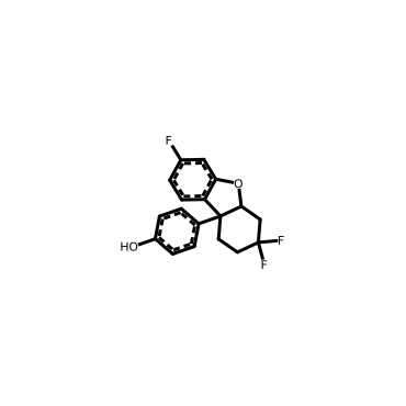 Oc1ccc(C23CCC(F)(F)CC2Oc2cc(F)ccc23)cc1